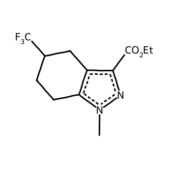 CCOC(=O)c1nn(C)c2c1CC(C(F)(F)F)CC2